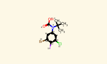 CC(C)(C)N(C(=O)O)c1cc(Cl)c(I)c(Br)c1